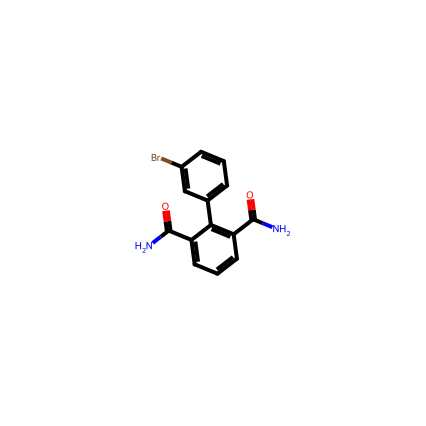 NC(=O)c1cccc(C(N)=O)c1-c1cccc(Br)c1